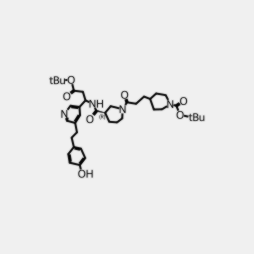 CC(C)(C)OC(=O)CC(NC(=O)[C@@H]1CCCN(C(=O)CCC2CCN(C(=O)OC(C)(C)C)CC2)C1)c1cncc(CCc2ccc(O)cc2)c1